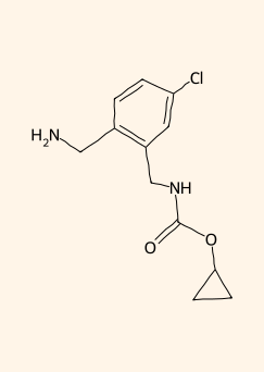 NCc1ccc(Cl)cc1CNC(=O)OC1CC1